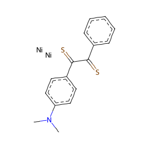 CN(C)c1ccc(C(=S)C(=S)c2ccccc2)cc1.[Ni].[Ni]